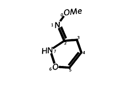 CON=C1CC=CON1